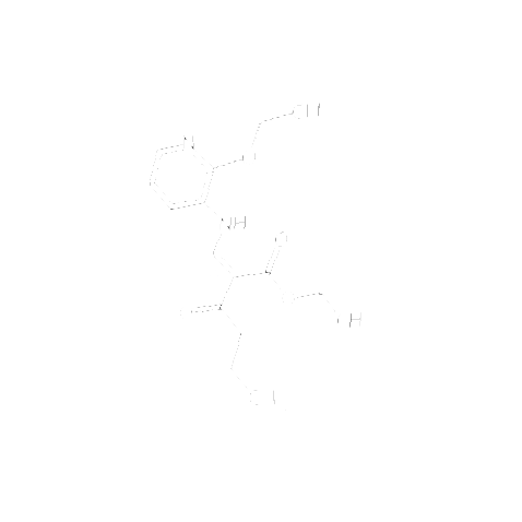 CCCC(=O)/C(=C/Nc1cccnc1OCC)C(=O)OCC